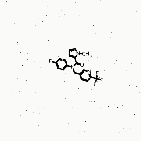 Cn1cccc1C(=O)N(Cc1ccc(C(F)(F)F)nc1)c1ccc(F)cc1